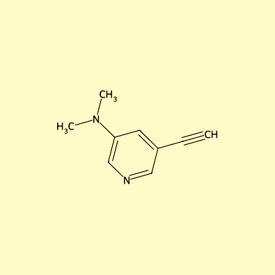 C#Cc1cncc(N(C)C)c1